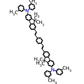 Cc1cccc(N(c2cccc(C)c2)c2ccc3c(c2)C(C)(C)c2cc(/C=C/c4ccc(/C=C/c5ccc6c(c5)C(C)(C)c5cc(N(c7cccc(C)c7)c7cccc(C)c7)ccc5-6)cc4)ccc2-3)c1